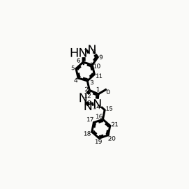 Cc1c(-c2ccc3[nH]ncc3c2)nnn1Cc1ccccc1